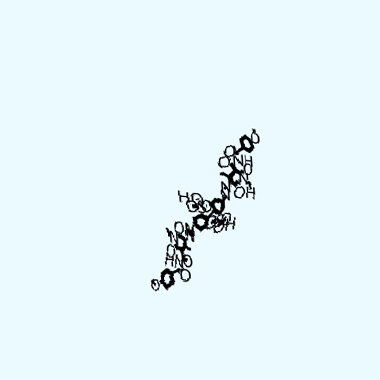 CCn1c(O)c(N=Nc2ccc(-c3ccc(N=Nc4c(C)c(C(=O)NC(=O)c5ccc(OC)cc5)c(=O)n(CC)c4O)cc3S(=O)(=O)O)c(S(=O)(=O)O)c2)c(C)c(C(=O)NC(=O)c2ccc(OC)cc2)c1=O